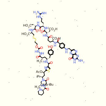 CCC(C)[C@H](NC(=O)[C@H]1CCCCN1C)C(=O)N(COC)[C@H](C[C@@H](OC(C)=O)c1nc(C(=O)N[C@@H](Cc2ccc(O)cc2)C[C@H](C)C(=O)NNC(=O)OCCSSC[C@H](NC(=O)[C@H](CC(=O)O)NC(=O)[C@H](CCCNC(=N)N)NC(=O)[C@H](CC(=O)O)NC(=O)CC[C@H](NC(=O)c2ccc(NCc3cnc4nc(N)[nH]c(=O)c4n3)cc2)C(=O)O)C(=O)O)cs1)C(C)C